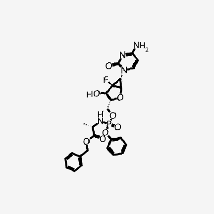 C[C@H](NP(=O)(OC[C@H]1OC2[C@@H](n3ccc(N)nc3=O)[C@@]2(F)C1O)Oc1ccccc1)C(=O)OCc1ccccc1